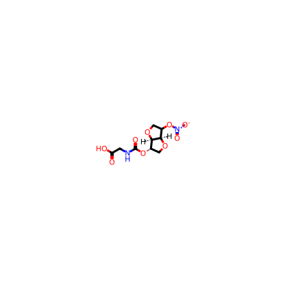 O=C(O)CNC(=O)O[C@H]1CO[C@@H]2C(O[N+](=O)[O-])CO[C@H]12